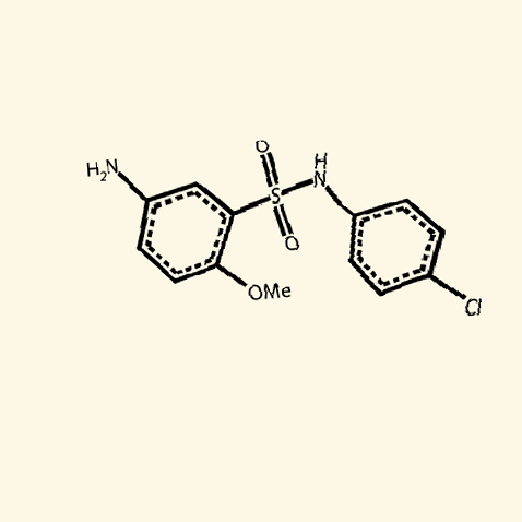 COc1ccc(N)cc1S(=O)(=O)Nc1ccc(Cl)cc1